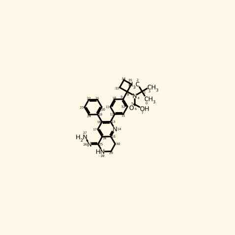 CC(C)(C)N(C(=O)O)C1(c2ccc(-c3nc4c(cc3-c3ccccc3)/C(=N\N)NCC4)cc2)CCC1